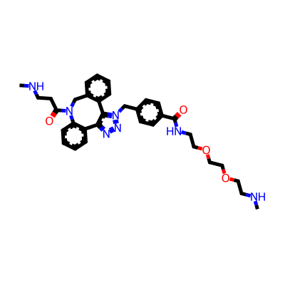 CNCCOCCOCCNC(=O)c1ccc(Cn2nnc3c2-c2ccccc2CN(C(=O)CCNC)c2ccccc2-3)cc1